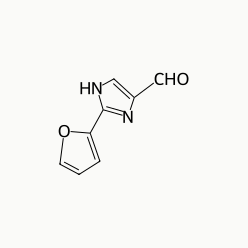 O=Cc1c[nH]c(-c2ccco2)n1